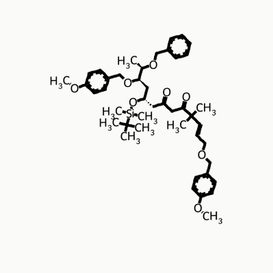 COc1ccc(COC/C=C/C(C)(C)C(=O)CC(=O)C[C@@H](C[C@@H](OCc2ccc(OC)cc2)[C@@H](C)OCc2ccccc2)O[Si](C)(C)C(C)(C)C)cc1